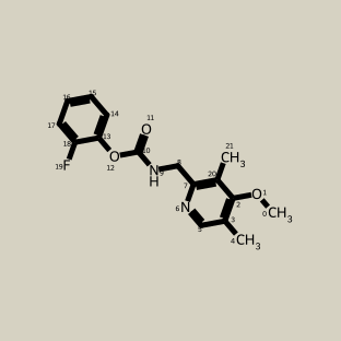 COc1c(C)cnc(CNC(=O)Oc2ccccc2F)c1C